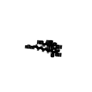 CCCCCCCCCCCCCCCCCC(=O)C(C)(O)C(O)OP(=O)(O)NCCO